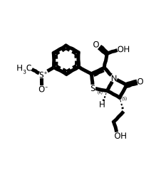 C[S+]([O-])c1cccc(C2=C(C(=O)O)N3C(=O)[C@H](CCO)[C@H]3S2)c1